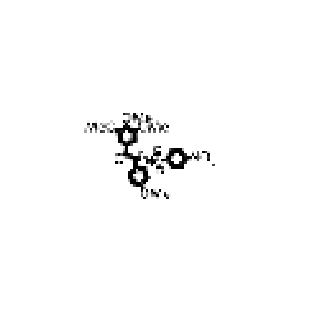 COc1ccc2c(C(=O)c3cc(OC)c(OC)c(OC)c3)nn(S(=O)(=O)c3ccc([N+](=O)[O-])cc3)c2c1